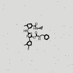 Cc1cc(-c2nc(Nc3cc(C(=O)NC4CC4)ccc3C)sc2OC(=O)NCc2ccccc2)ccc1F